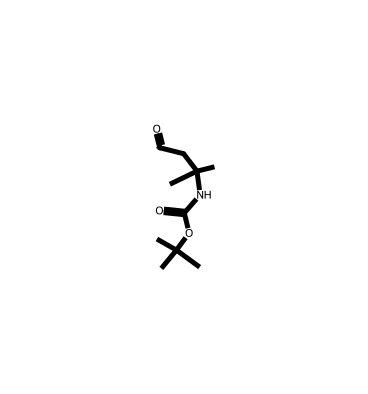 CC(C)(C[C]=O)NC(=O)OC(C)(C)C